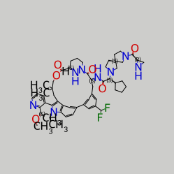 CCn1c(-c2cccnc2[C@H](C)OC)c2c3cc(ccc31)-c1cc(cc(C(F)F)c1)C[C@H](NC(=O)[C@H](C1CCCC1)N1CC[C@]3(CCN(C(=O)[C@H]4CN4)C3)C1)C(=O)N1CCC[C@H](N1)C(=O)OCC(C)(C)C2